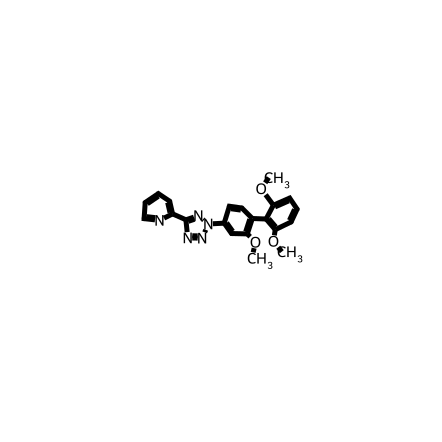 COc1cc(-n2nnc(-c3ccccn3)n2)ccc1-c1c(OC)cccc1OC